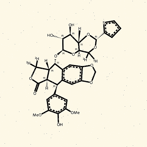 [2H]C1([2H])OC(=O)[C@@H]2[C@H](c3cc(OC)c(O)c(OC)c3)c3cc4c(cc3[C@@H](O[C@@H]3O[C@H]5[C@@H](O[C@H](c6cccs6)OC5([2H])[2H])[C@H](O)[C@H]3O)[C@H]21)OCO4